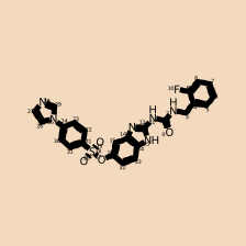 O=C(NCc1ccccc1F)Nc1nc2cc(OS(=O)(=O)c3ccc(-n4ccnc4)cc3)ccc2[nH]1